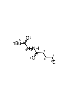 CCCCC(=O)[N]NC(=O)CCCCl